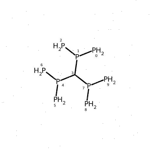 PP(P)C(P(P)P)P(P)P